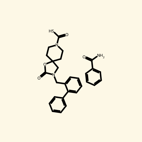 NC(=O)c1ccccc1.O=C(S)N1CCC2(CC1)CN(Cc1ccccc1-c1ccccc1)C(=O)O2